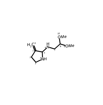 C=C1CCNC1NCC(OC)OC